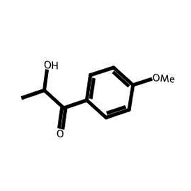 COc1ccc(C(=O)C(C)O)cc1